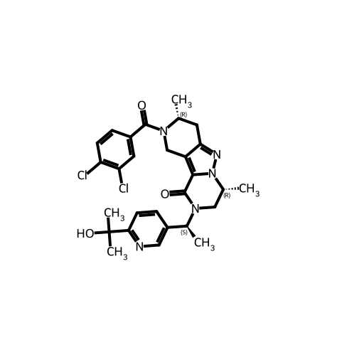 C[C@@H]1Cc2nn3c(c2CN1C(=O)c1ccc(Cl)c(Cl)c1)C(=O)N([C@@H](C)c1ccc(C(C)(C)O)nc1)C[C@H]3C